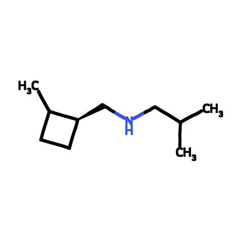 CC(C)CNC[C@H]1CCC1C